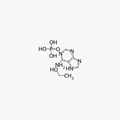 CCO.Nc1ncnc2nc[nH]c12.O=P(O)(O)O